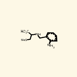 CSCC(NCc1ccccc1N)C(=O)O